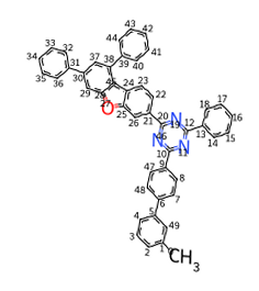 Cc1cccc(-c2ccc(-c3nc(-c4ccccc4)nc(-c4ccc5c(c4)oc4cc(-c6ccccc6)cc(-c6ccccc6)c45)n3)cc2)c1